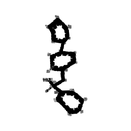 C[C@](O)(Cc1ccc(-c2ccccc2)cn1)c1ccccc1